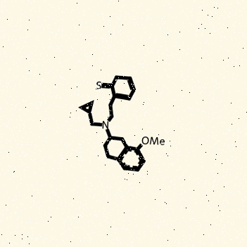 COc1cccc2c1CC(N(CCC1=CC=CCC1=S)CC1CC1)CC2